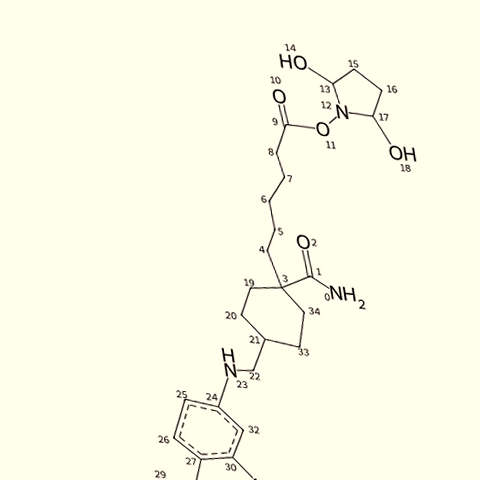 NC(=O)C1(CCCCCC(=O)ON2C(O)CCC2O)CCC(CNc2ccc(CO)c([N+](=O)[O-])c2)CC1